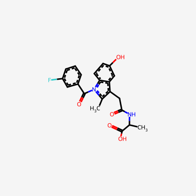 Cc1c(CC(=O)NC(C)C(=O)O)c2cc(O)ccc2n1C(=O)c1cccc(F)c1